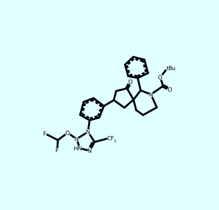 CC(C)(C)OC(=O)N1CCCC2(CC(c3cccc(N4C(C(F)(F)F)=NNN4OC(F)F)c3)CC2=O)C1c1ccccc1